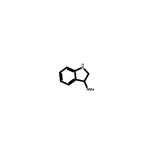 CNC1CNc2ccccc21